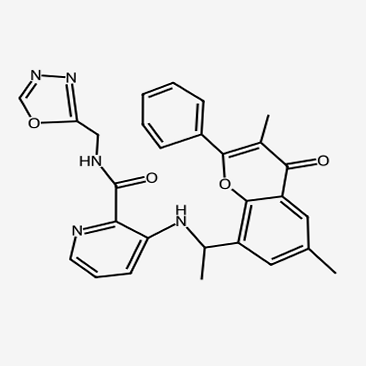 Cc1cc(C(C)Nc2cccnc2C(=O)NCc2nnco2)c2oc(-c3ccccc3)c(C)c(=O)c2c1